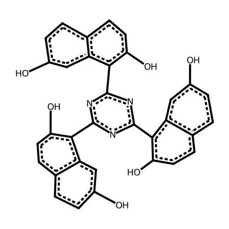 Oc1ccc2ccc(O)c(-c3nc(-c4c(O)ccc5ccc(O)cc45)nc(-c4c(O)ccc5ccc(O)cc45)n3)c2c1